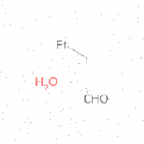 CCCC=O.O